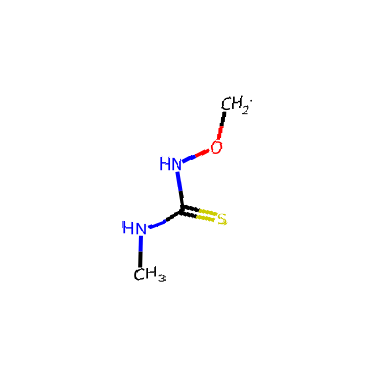 [CH2]ONC(=S)NC